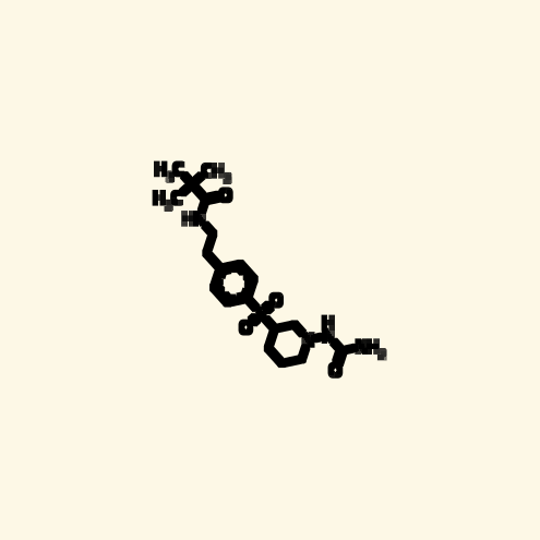 CC(C)(C)C(=O)NCCc1ccc(S(=O)(=O)C2CCCN(NC(N)=O)C2)cc1